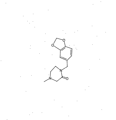 CN1CCN(Cc2ccc3c(c2)OCO3)C(=O)C1